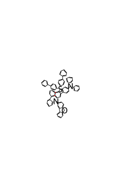 c1ccc(-c2ccc(S3(c4ccc(-c5ccccc5)cc4)c4ccc(N(c5ccc6oc7ccccc7c6c5)c5ccccc5-c5ccccc5)cc4-c4ccc(N(c5ccccc5)c5ccccc5)cc43)cc2)cc1